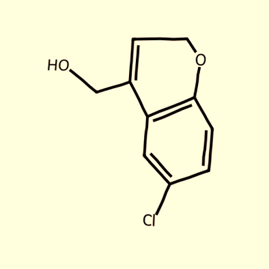 OCC1=CCOc2ccc(Cl)cc21